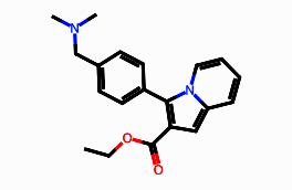 CCOC(=O)c1cc2ccccn2c1-c1ccc(CN(C)C)cc1